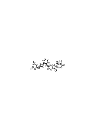 O=C1CCC(N2Cc3cc(O[C@@H]4CCCC[C@@H]4N4CC(OC(CCF)CCF)C4)ccc3C2=O)C(=O)N1